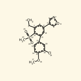 CCc1cc(-c2cnoc2)cc(-c2ccc(OC)c(Cl)c2)c1S(C)(=O)=O